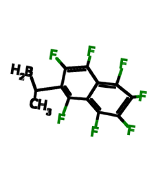 BC(C)c1c(F)c(F)c2c(F)c(F)c(F)c(F)c2c1F